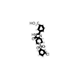 O=C(O)c1cccc(C2=NC3(CCN(S(=O)(=O)c4cccc(Cl)c4)CC3)C(=O)N2)c1